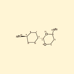 CCCC1CCOC([C@H]2CC[C@H](CCC)CC2)O1